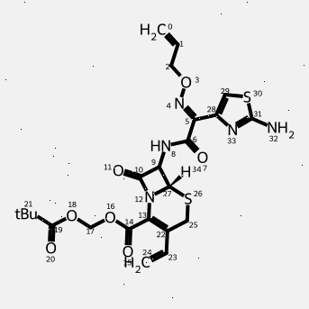 C=CCON=C(C(=O)NC1C(=O)N2C(C(=O)OCOC(=O)C(C)(C)C)=C(C=C)CS[C@@H]12)c1csc(N)n1